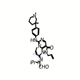 C=CCn1c(=O)c2cnc(Nc3ccc(C4(C)CCCN(C)C4)cc3)nc2n1C(/C=C\C)=N/N(C=O)C(C)C